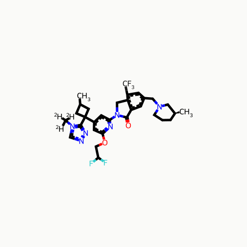 [2H]C([2H])([2H])n1cnnc1C1(c2cc(OCC(F)F)nc(N3Cc4c(cc(CN5CCC[C@H](C)C5)cc4C(F)(F)F)C3=O)c2)CC(C)C1